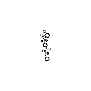 O=C(NCc1cccnc1)Nc1ccc(NS(=O)(=O)c2cccc(Cl)c2Cl)cc1